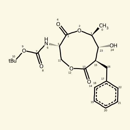 C[C@@H]1OC(=O)[C@@H](NC(=O)OC(C)(C)C)COC(=O)[C@H](Cc2ccccc2)[C@H]1O